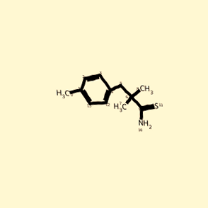 Cc1ccc(CC(C)(C)C(N)=S)cc1